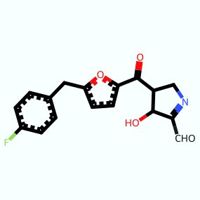 O=CC1=NCC(C(=O)c2ccc(Cc3ccc(F)cc3)o2)C1O